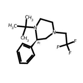 CC(C)(C)N1CCN(CC(F)(F)F)C[C@H]1c1ccccc1